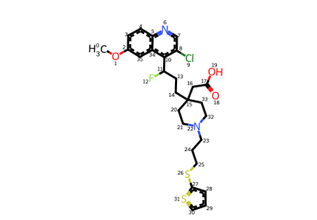 COc1ccc2ncc(Cl)c(C(F)CCC3(CC(=O)O)CCN(CCCSc4cccs4)CC3)c2c1